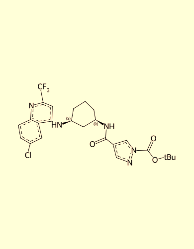 CC(C)(C)OC(=O)n1cc(C(=O)N[C@@H]2CCC[C@H](Nc3cc(C(F)(F)F)nc4ccc(Cl)cc34)C2)cn1